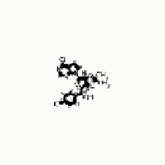 CC1(C)O[C@H]2[C@@H](O1)[C@H](n1ccc3c(Cl)ncnc31)O[C@@H]2[C@@H](O)c1ccc(Cl)cc1